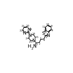 NC(CCCc1nc2ccccc2s1)N1CCN(c2ncccn2)CC1